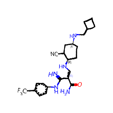 N#CC1C[C@@H](NCC2CCC2)CC[C@H]1N/C=C(\C(=N)Nc1ccc(C(F)(F)F)cc1)C(N)=O